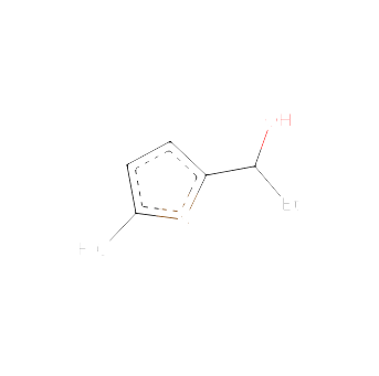 CCC(O)c1ccc(C(F)(F)F)s1